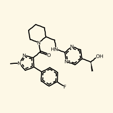 C[C@H](O)c1cnc(NCC2CCCCN2C(=O)c2nn(C)cc2-c2ccc(F)cc2)nc1